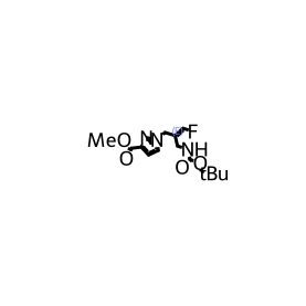 COC(=O)c1ccn(C/C(=C/F)CNC(=O)OC(C)(C)C)n1